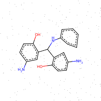 Nc1ccc(O)c(C(Nc2ccccc2)c2cc(N)ccc2O)c1